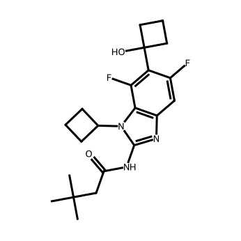 CC(C)(C)CC(=O)Nc1nc2cc(F)c(C3(O)CCC3)c(F)c2n1C1CCC1